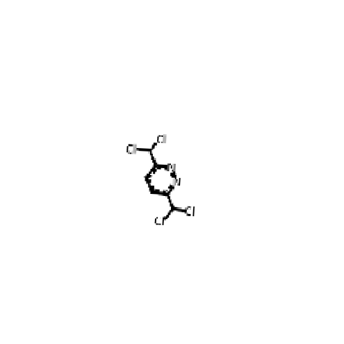 ClC(Cl)c1ccc(C(Cl)Cl)nn1